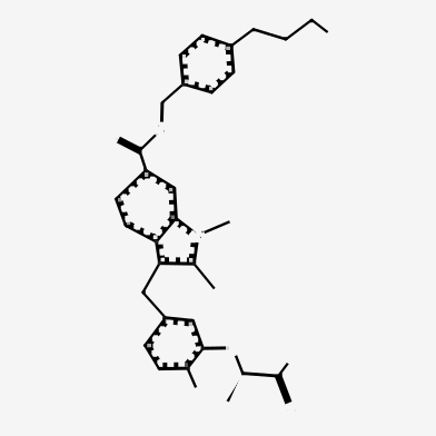 CCCCc1ccc(CNC(=O)c2ccc3c(Cc4ccc(Cl)c(O[C@H](C)C(=O)O)c4)c(C)n(C)c3c2)cc1